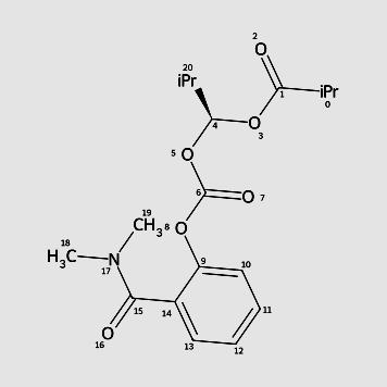 CC(C)C(=O)O[C@@H](OC(=O)Oc1ccccc1C(=O)N(C)C)C(C)C